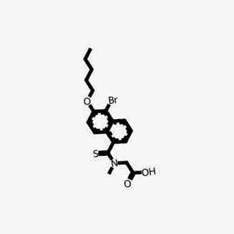 CCCCCOc1ccc2c(C(=S)N(C)CC(=O)O)cccc2c1Br